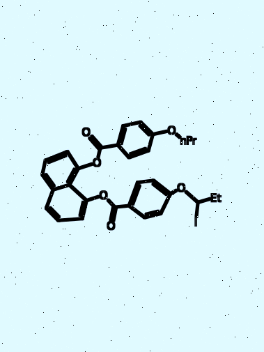 CCCOc1ccc(C(=O)Oc2cccc3cccc(OC(=O)c4ccc(OC(I)CC)cc4)c23)cc1